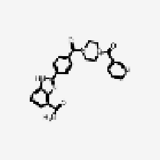 NC(=O)c1cccc2[nH]c(-c3ccc(C(=O)N4CCN(C(=O)c5cccnc5)CC4)cc3)nc12